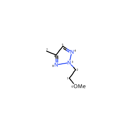 COCCn1ncc(C)n1